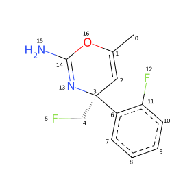 CC1=C[C@@](CF)(c2ccccc2F)N=C(N)O1